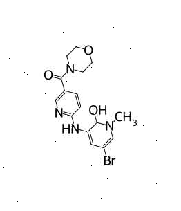 CN1C=C(Br)C=C(Nc2ccc(C(=O)N3CCOCC3)cn2)C1O